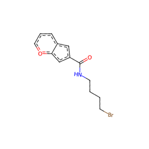 O=C(NCCCCBr)c1cc2cccoc-2c1